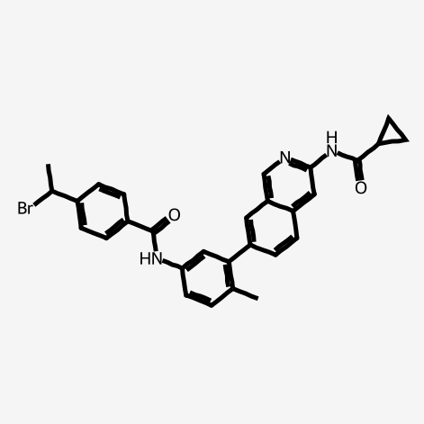 Cc1ccc(NC(=O)c2ccc(C(C)Br)cc2)cc1-c1ccc2cc(NC(=O)C3CC3)ncc2c1